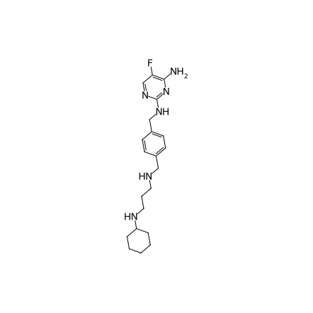 Nc1nc(NCc2ccc(CNCCCNC3CCCCC3)cc2)ncc1F